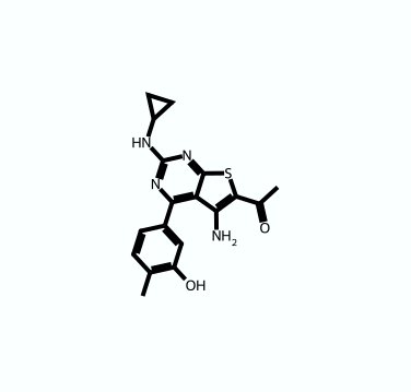 CC(=O)c1sc2nc(NC3CC3)nc(-c3ccc(C)c(O)c3)c2c1N